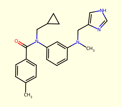 Cc1ccc(C(=O)N(CC2CC2)c2cccc(N(C)Cc3c[nH]cn3)c2)cc1